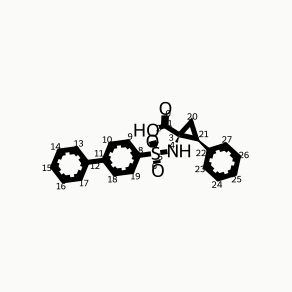 O=C(O)[C@@]1(NS(=O)(=O)c2ccc(-c3ccccc3)cc2)C[C@H]1c1ccccc1